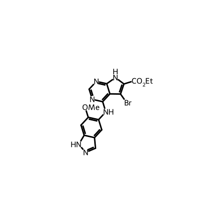 CCOC(=O)c1[nH]c2ncnc(Nc3cc4cn[nH]c4cc3OC)c2c1Br